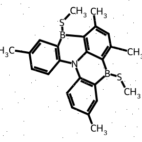 CSB1c2cc(C)ccc2N2c3ccc(C)cc3B(SC)c3c(C)cc(C)c1c32